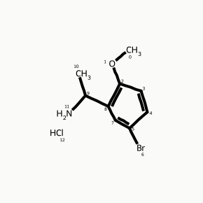 COc1ccc(Br)cc1C(C)N.Cl